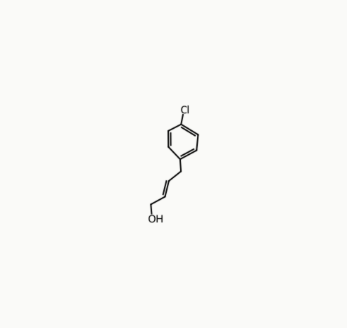 OCC=CCc1ccc(Cl)cc1